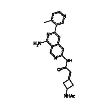 CC(=O)NC1CC(=CC(=O)Nc2cc3cc(-c4cnccc4C)nc(N)c3cn2)C1